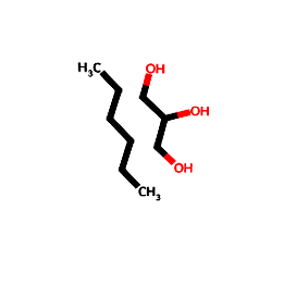 CCCCCC.OCC(O)CO